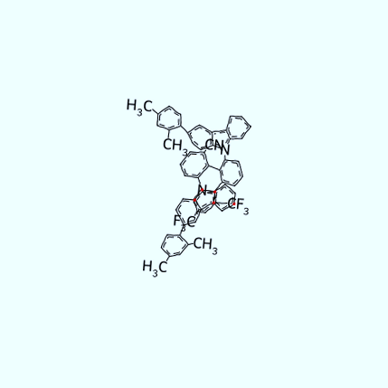 Cc1ccc(-c2ccc3c(c2)c2ccccc2n3-c2cccc(C#N)c2-c2c(-c3ccc(C(F)(F)F)cc3C(F)(F)F)cccc2-n2c3ccccc3c3cc(-c4ccc(C)cc4C)ccc32)c(C)c1